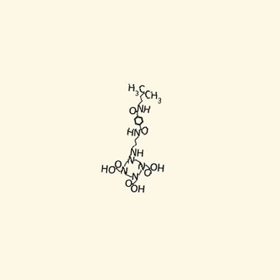 CC(C)CCCNC(=O)c1ccc(C(=O)NCCCCNCN2CCN(CC(=O)O)CCN(CC(=O)O)CCN(CC(=O)O)CC2)cc1